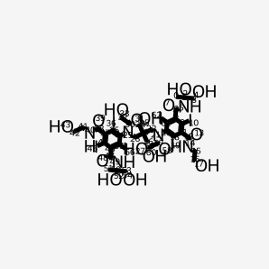 CC(O)(CO)NC(=O)c1c(I)c(C(=O)NCCO)c(I)c(N(CC(CO)(CO)CN(C(=O)CO)c2c(I)c(C(=O)NCCO)c(I)c(C(=O)NC(C)(O)CO)c2I)C(=O)CO)c1I